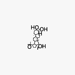 C=C(O)[C@]12CC[C@@H](C3(C)CO3)C1C1CCC3[C@@]4(C)CC[C@H](O)[C@@](C)(CO)[C@@H]4CC[C@@]3(C)[C@]1(C)CC2